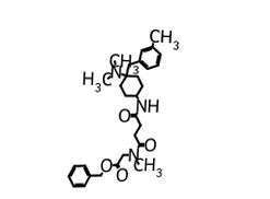 Cc1cccc(CC2(N(C)C)CCC(NC(=O)CCC(=O)N(C)CC(=O)OCc3ccccc3)CC2)c1